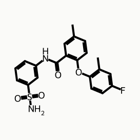 Cc1ccc(Oc2ccc(F)cc2C)c(C(=O)Nc2cccc(S(N)(=O)=O)c2)c1